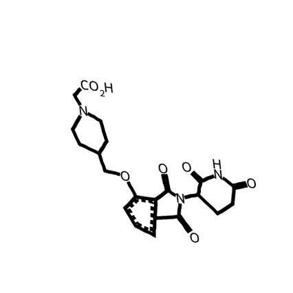 O=C(O)CN1CCC(COc2cccc3c2C(=O)N(C2CCC(=O)NC2=O)C3=O)CC1